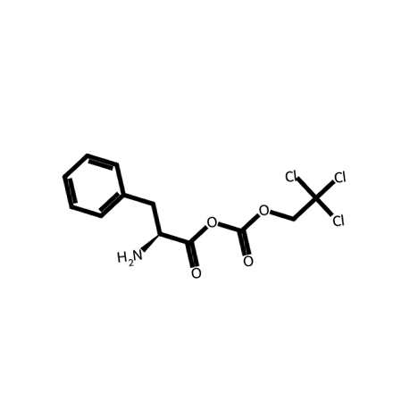 N[C@@H](Cc1ccccc1)C(=O)OC(=O)OCC(Cl)(Cl)Cl